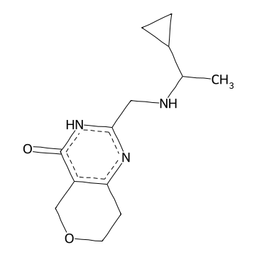 CC(NCc1nc2c(c(=O)[nH]1)COCC2)C1CC1